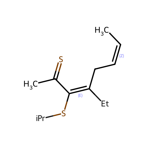 C/C=C\C/C(CC)=C(/SC(C)C)C(C)=S